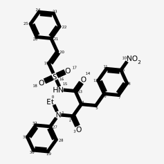 CCN(C(=O)C(Cc1ccc([N+](=O)[O-])cc1)C(=O)NS(=O)(=O)/C=C/c1ccccc1)c1ccccc1